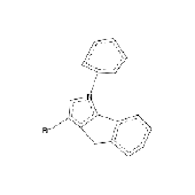 Brc1cn(-c2ccccc2)c2c1Cc1ccccc1-2